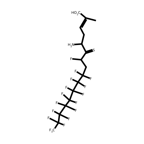 CC(=CCC(N)C(=S)C(F)CC(F)(F)C(F)(F)C(F)(F)C(F)(F)C(F)(F)C(F)(F)C(F)(F)C(F)(F)F)C(=O)O